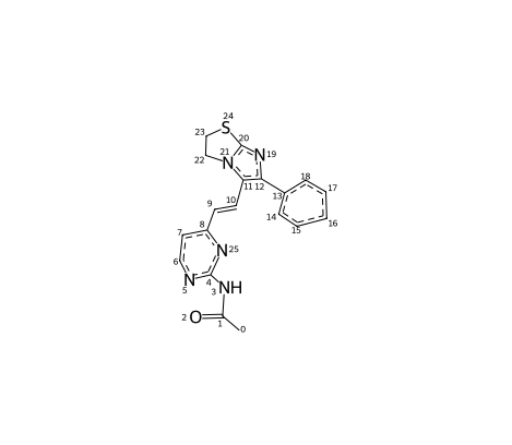 CC(=O)Nc1nccc(C=Cc2c(-c3ccccc3)nc3n2CCS3)n1